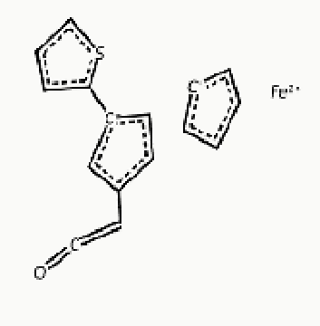 O=C=Cc1cc[c-](-c2cccs2)c1.[Fe+2].c1cc[cH-]c1